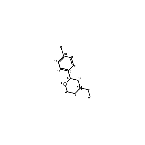 CCN1CCOC(c2ccc(C)cc2)C1